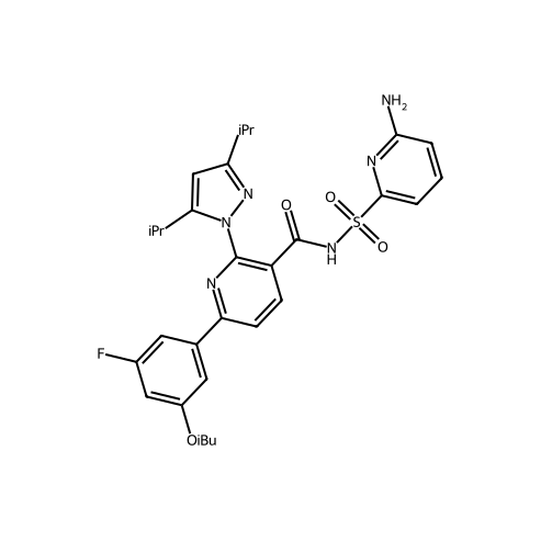 CC(C)COc1cc(F)cc(-c2ccc(C(=O)NS(=O)(=O)c3cccc(N)n3)c(-n3nc(C(C)C)cc3C(C)C)n2)c1